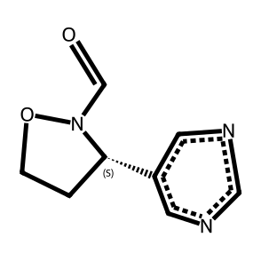 O=CN1OCC[C@H]1c1cncnc1